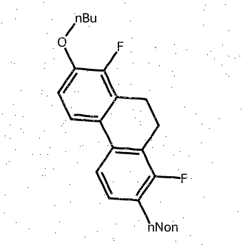 CCCCCCCCCc1ccc2c(c1F)CCc1c-2ccc(OCCCC)c1F